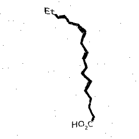 CCC=CC/C=C\CC=CCCCCCCCC(=O)O